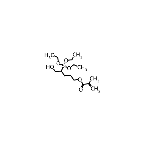 C=C(C)C(=O)OCCCC(CO)[Si](OCC)(OCC)OCC